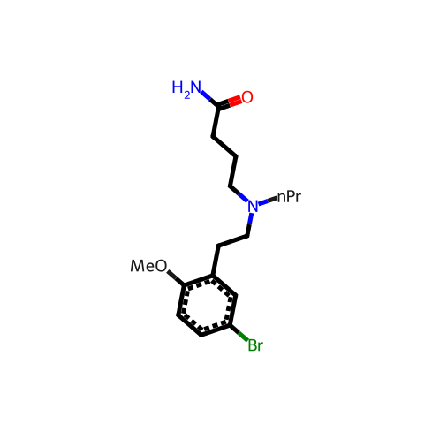 CCCN(CCCC(N)=O)CCc1cc(Br)ccc1OC